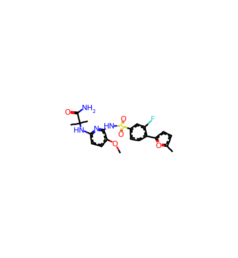 COc1ccc(NC(C)(C)C(N)=O)nc1NS(=O)(=O)c1ccc(-c2ccc(C)o2)c(F)c1